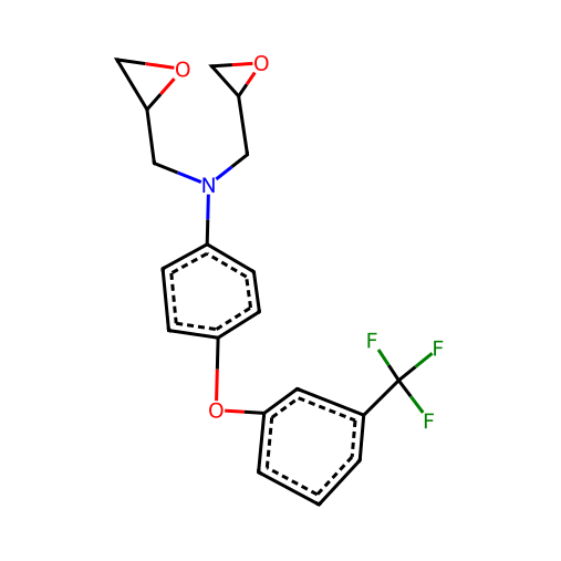 FC(F)(F)c1cccc(Oc2ccc(N(CC3CO3)CC3CO3)cc2)c1